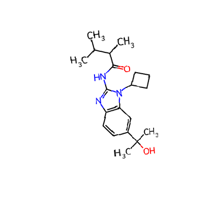 CC(C)C(C)C(=O)Nc1nc2ccc(C(C)(C)O)cc2n1C1CCC1